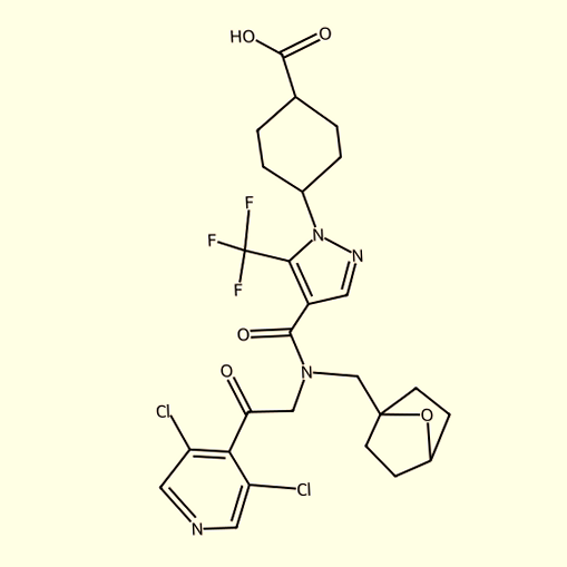 O=C(CN(CC12CCC(CC1)O2)C(=O)c1cnn(C2CCC(C(=O)O)CC2)c1C(F)(F)F)c1c(Cl)cncc1Cl